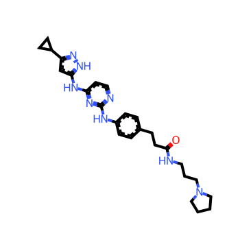 O=C(CCc1ccc(Nc2nccc(Nc3cc(C4CC4)n[nH]3)n2)cc1)NCCCN1CCCC1